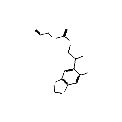 C=CCOC(=O)OCC(C)c1cc2c(cc1[N+](=O)[O-])OCO2